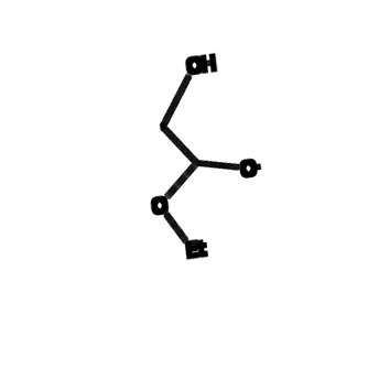 CCOC([O])CO